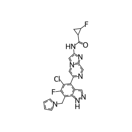 O=C(Nc1cn2cc(-c3c(Cl)c(F)c(Cn4cccc4)c4[nH]ncc34)ncc2n1)C1CC1F